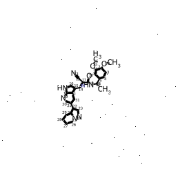 COc1ccc([C@@H](C)NC(=O)/C(C#N)=C/c2c[nH]c3ncc(-c4cnn5ccccc45)cc23)cc1OC